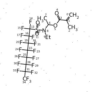 C=C(C)C(=O)OC(C)N(CC)S(=O)(=O)C(F)(F)C(F)(F)C(F)(F)C(F)(F)C(F)(F)C(F)(F)C(F)(F)C(F)(F)F